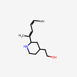 CCC/C=C\C=C(/C)C1CC(CCO)CCN1